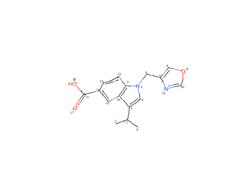 CC(C)c1cn(Cc2cocn2)c2ccc(C(=O)O)cc12